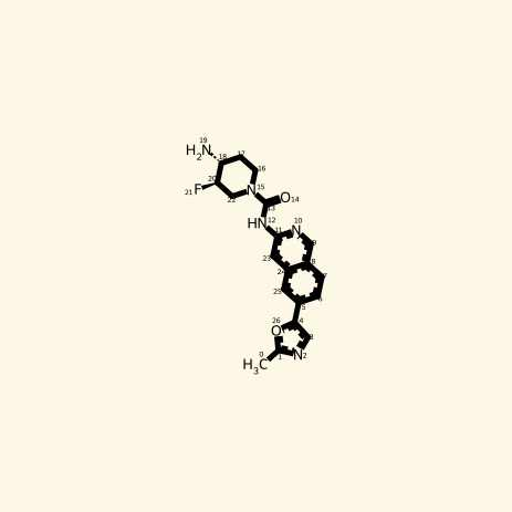 Cc1ncc(-c2ccc3cnc(NC(=O)N4CC[C@@H](N)[C@H](F)C4)cc3c2)o1